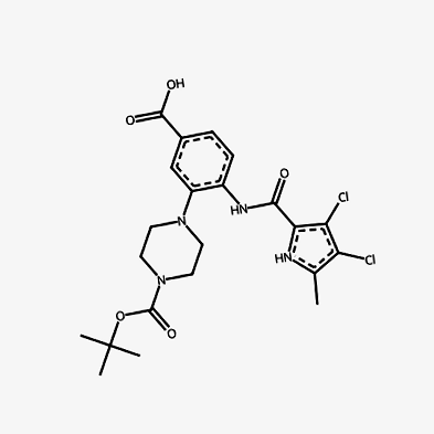 Cc1[nH]c(C(=O)Nc2ccc(C(=O)O)cc2N2CCN(C(=O)OC(C)(C)C)CC2)c(Cl)c1Cl